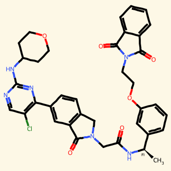 C[C@@H](NC(=O)CN1Cc2ccc(-c3nc(NC4CCOCC4)ncc3Cl)cc2C1=O)c1cccc(OCCN2C(=O)c3ccccc3C2=O)c1